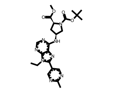 CCn1c(-c2cnc(C)nc2)nc2c(N[C@H]3C[C@@H](C(=O)OC)N(C(=O)OC(C)(C)C)C3)ncnc21